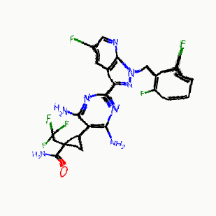 NC(=O)C1(C(F)(F)F)CC1c1c(N)nc(-c2nn(Cc3c(F)cccc3F)c3ncc(F)cc23)nc1N